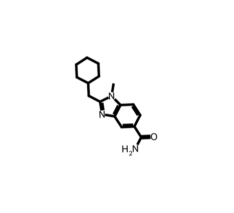 Cn1c(CC2CCCCC2)nc2cc(C(N)=O)ccc21